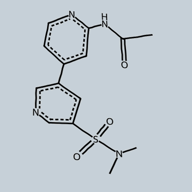 CC(=O)Nc1cc(-c2cncc(S(=O)(=O)N(C)C)c2)ccn1